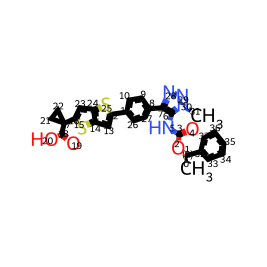 C[C@@H](OC(=O)Nc1c(-c2ccc(-c3cc4sc(C5(C(=O)O)CC5)cc4s3)cc2)nnn1C)c1ccccc1